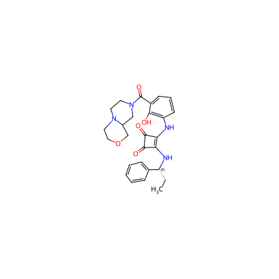 CC[C@@H](Nc1c(Nc2cccc(C(=O)N3CCN4CCOCC4C3)c2O)c(=O)c1=O)c1ccccc1